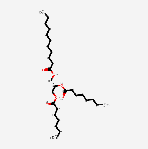 CCCCCCCCCCCCCCCCCCCC(=O)OC[C@@H](COC(=O)CCCCCCCCCCCCCCC)OC(=O)CCCCCCCCCCCCCCCC